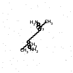 CCCCCCC(c1ccc(CCCCCCCCCCc2ccc(C(CCCCCC)c3ccc(N)cc3C)cc2)cc1)c1ccc(N)cc1C